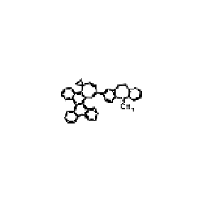 CN1C2=C(CCC=C2)CCc2cc(C3=Cc4c(c5ccccc5c5c6ccccc6c6ccccc6c45)C4(C=C3)CC4)ccc21